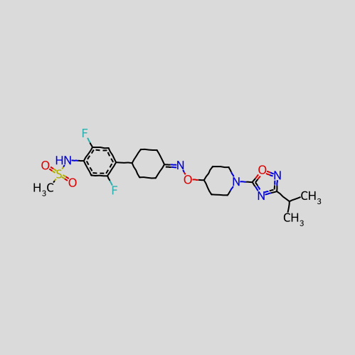 CC(C)c1noc(N2CCC(ON=C3CCC(c4cc(F)c(NS(C)(=O)=O)cc4F)CC3)CC2)n1